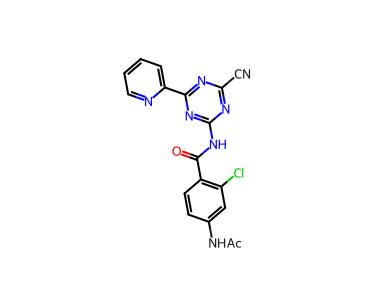 CC(=O)Nc1ccc(C(=O)Nc2nc(C#N)nc(-c3ccccn3)n2)c(Cl)c1